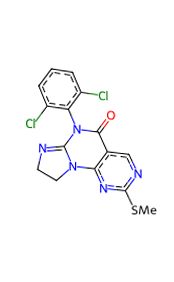 CSc1ncc2c(n1)N1CCN=C1N(c1c(Cl)cccc1Cl)C2=O